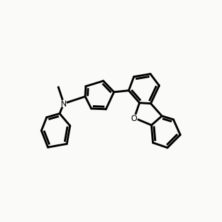 CN(c1ccccc1)c1ccc(-c2cccc3c2oc2ccccc23)cc1